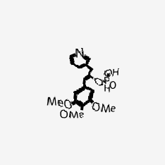 COc1cc(C=C(Cc2cccnc2)O[PH](=O)O)cc(OC)c1OC